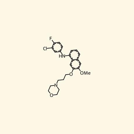 COc1cc2cccc(Nc3ccc(F)c(Cl)c3)c2cc1OCCCN1CCOCC1